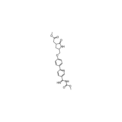 COC(=O)CC1CC(COc2ccc(-c3ccc(C(=N)NC(=O)OC)cn3)cc2)NC1=O